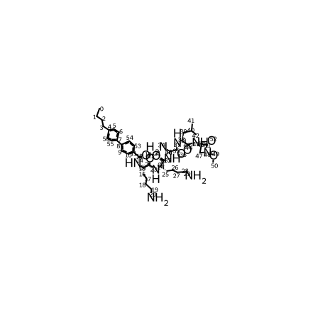 CCCCc1ccc(-c2ccc(C(=O)N[C@@H](CCCCN)C(=O)N[C@@H](CCCCN)C(=O)N[C@@H](N)C(=O)N[C@@H](CC(C)C)C(=O)N[C@@H]3CN(OC)C3=O)cc2)cc1